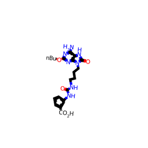 CCCCOc1nc(N)c2[nH]c(=O)n(CCCCNC(=O)Nc3cccc(C(=O)O)c3)c2n1